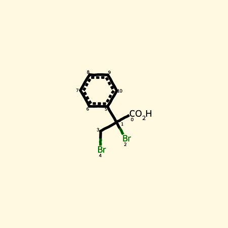 O=C(O)C(Br)(CBr)c1ccccc1